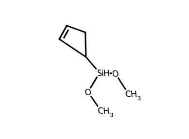 CO[SiH](OC)C1C=CC1